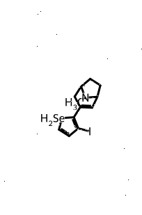 CN1C2C=C(C3=C(I)C=C[SeH2]3)CC1CC2